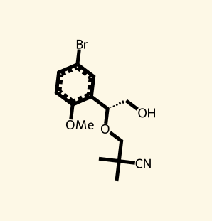 COc1ccc(Br)cc1[C@H](CO)OCC(C)(C)C#N